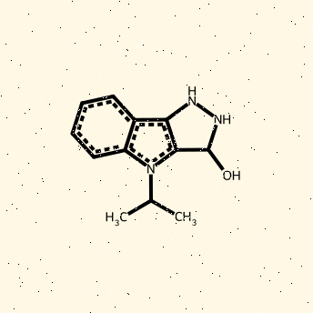 CC(C)n1c2c(c3ccccc31)NNC2O